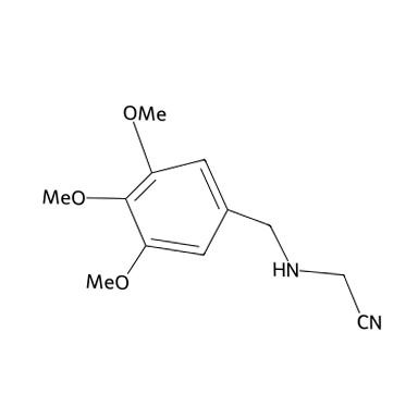 COc1cc(CNCC#N)cc(OC)c1OC